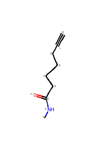 C#CCCCCC(=O)NC